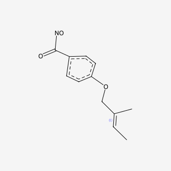 C/C=C(\C)COc1ccc(C(=O)N=O)cc1